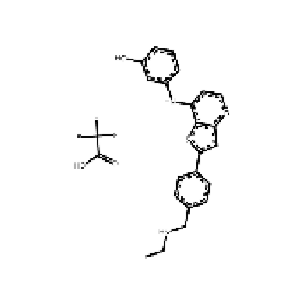 CCNCc1ccc(-c2cc3nccc(Nc4cccc(O)c4)c3s2)cc1.O=C(O)C(F)(F)F